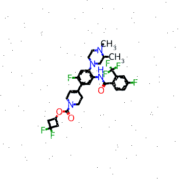 CC1CN(c2cc(F)c(C3=CCN(C(=O)OC4CC(F)(F)C4)CC3)cc2NC(=O)c2ccc(F)cc2C(F)(F)F)CCN1C